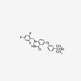 CC(C)(O)c1cccc(Oc2ccc3c(c2)C(=O)NCN3Cc2c(F)cc(F)cc2F)c1